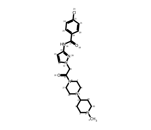 CN1CCC(N2CCN(C(=O)Cn3ccc(NC(=O)c4ccc(Cl)cc4)n3)CC2)CC1